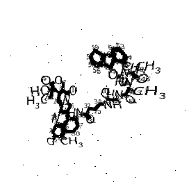 CC[C@@]1(O)C(=O)OCc2c1cc1n(c2=O)Cc2c-1nc1cc(Cl)c(C)c3c1c2[C@@H](NC(=O)CCCNC(=O)CNC(=O)[C@H](C)NC(=O)[C@H](C)N(C)C(=O)OC1c2ccccc2-c2ccccc21)CC3